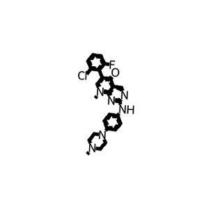 CN1CCN(c2ccc(Nc3ncc4c(=O)c(-c5c(F)cccc5Cl)cn(C)c4n3)cc2)CC1